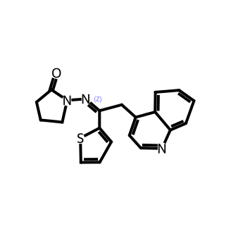 O=C1CCCN1/N=C(/Cc1ccnc2ccccc12)c1cccs1